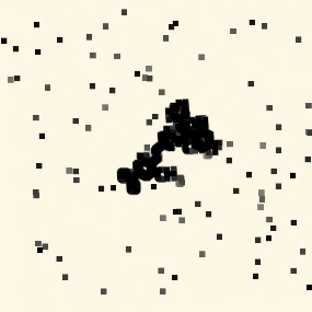 Cc1cc([N+](=O)[O-])cnc1/C=C/c1cnn([C@H](C)[C@](O)(Cn2cncn2)c2ccc(F)cc2F)c1